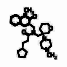 CN1CCN(C2(CN(Cc3cc4ccccc4n(C)c3=O)C(=O)CCC3CCCC3)CCCOC2)CC1